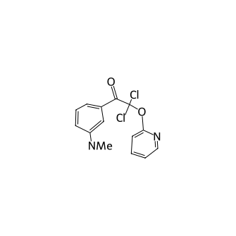 CNc1cccc(C(=O)C(Cl)(Cl)Oc2ccccn2)c1